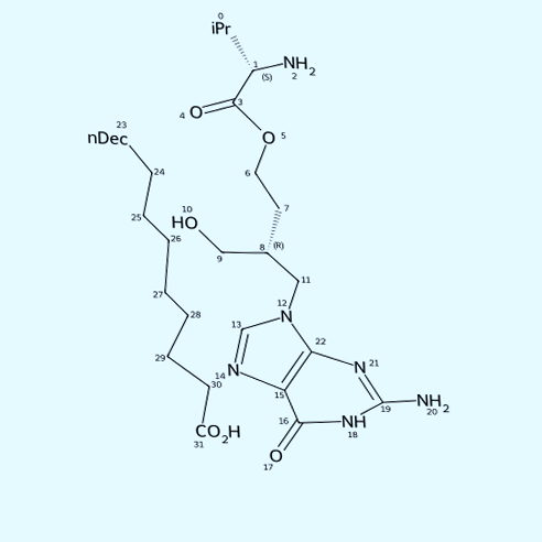 CC(C)[C@H](N)C(=O)OCC[C@@H](CO)Cn1cnc2c(=O)[nH]c(N)nc21.CCCCCCCCCCCCCCCCCC(=O)O